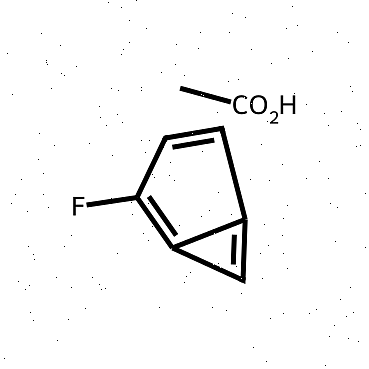 CC(=O)O.Fc1ccc2cc1-2